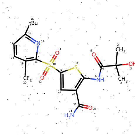 CC(C)(O)C(=O)Nc1sc(S(=O)(=O)c2nc(C(C)(C)C)ccc2C(F)(F)F)cc1C(N)=O